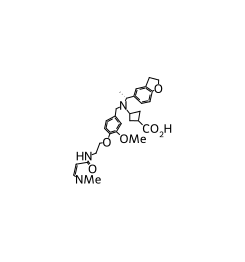 CN/C=C\C(=O)NCCOc1ccc(CN(C2CC(C(=O)O)C2)[C@H](C)c2ccc3c(c2)CCO3)cc1OC